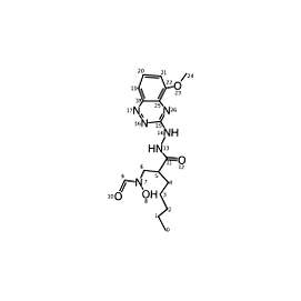 CCCCCC(CN(O)C=O)C(=O)NNc1nnc2cccc(OC)c2n1